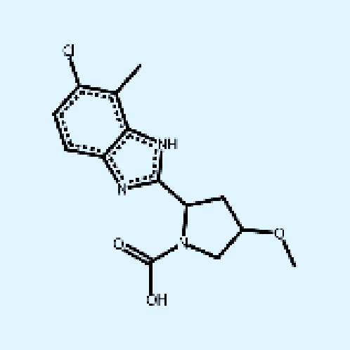 COC1CC(c2nc3ccc(Cl)c(C)c3[nH]2)N(C(=O)O)C1